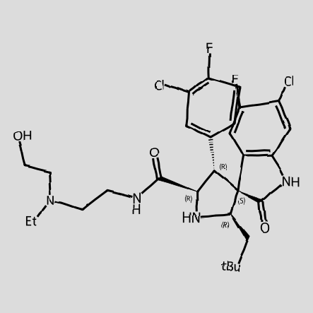 CCN(CCO)CCNC(=O)[C@@H]1N[C@H](CC(C)(C)C)[C@]2(C(=O)Nc3cc(Cl)c(F)cc32)[C@H]1c1ccc(F)c(Cl)c1